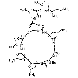 CC[C@H](C)[C@@H]1NC(=O)CNC(=O)[C@H](CCN)NC(=O)[C@@H](NC(=O)[C@H](CCN)NC(=O)[C@@H](NC(=O)[C@@H](N)CCN)[C@@H](C)O)CCNC(=O)[C@H]([C@@H](C)O)NC(=O)[C@H](CCN)NC(=O)[C@H](CCN)NC1=O